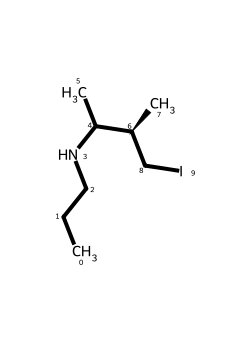 CCCNC(C)[C@@H](C)CI